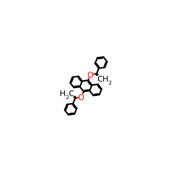 C=C(Oc1c2ccccc2c(OC(=C)c2ccccc2)c2ccccc12)c1ccccc1